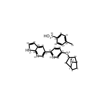 CN1C2CCC1CC(Oc1ccc(-c3cnc4[nH]ccc4c3)nc1)C2.Cc1ccc(S(=O)(=O)O)cc1